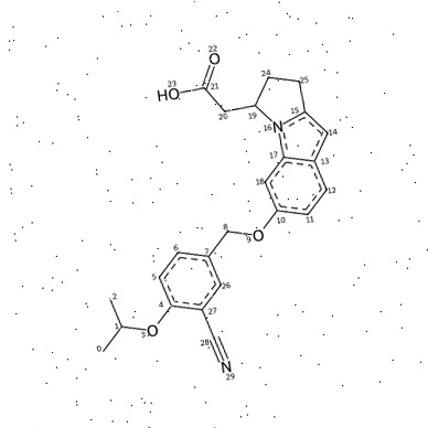 CC(C)Oc1ccc(COc2ccc3cc4n(c3c2)C(CC(=O)O)CC4)cc1C#N